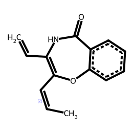 C=CC1=C(/C=C\C)Oc2ccccc2C(=O)N1